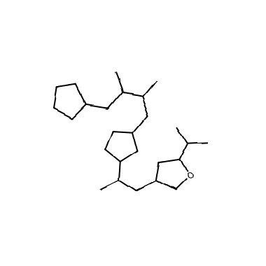 CC(C)C1CC(CC(C)C2CCC(CC(C)C(C)CC3CCCC3)C2)CO1